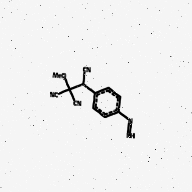 COC(C#N)(C#N)C(C#N)c1ccc(N=N)cc1